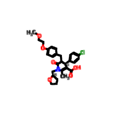 COCCOc1ccc(CC2C(=O)N(C[C@H]3CCCO3)C(C)=C(C(=O)O)[C@@H]2c2ccc(Cl)cc2)cc1